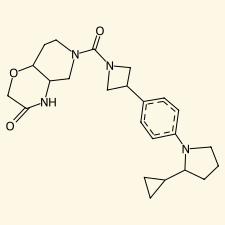 O=C1COC2CCN(C(=O)N3CC(c4ccc(N5CCCC5C5CC5)cc4)C3)CC2N1